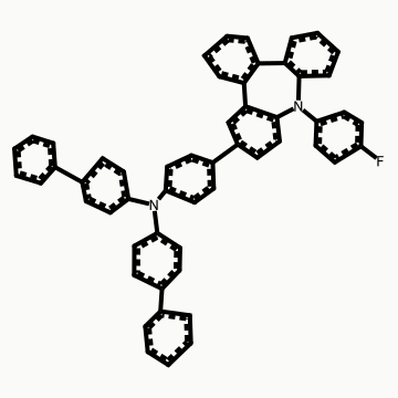 Fc1ccc(N2c3ccccc3-c3ccccc3-c3cc(-c4ccc(N(c5ccc(-c6ccccc6)cc5)c5ccc(-c6ccccc6)cc5)cc4)ccc32)cc1